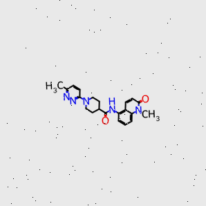 Cc1ccc(N2CCC(C(=O)Nc3cccc4c3ccc(=O)n4C)CC2)nn1